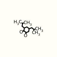 CC(C)CC1CC(=O)C(=O)C(CC(C)C)C1